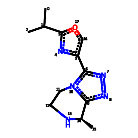 CC(C)c1nc(-c2nnc3n2CCN[C@@H]3C)co1